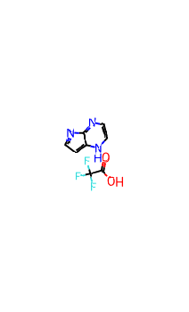 O=C(O)C(F)(F)F.c1c[nH]c2ccnc-2n1